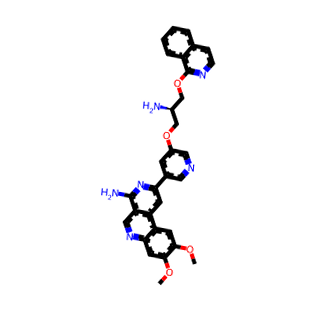 COc1cc2ncc3c(N)nc(-c4cncc(OC[C@@H](N)COc5nccc6ccccc56)c4)cc3c2cc1OC